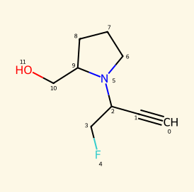 C#CC(CF)N1CCCC1CO